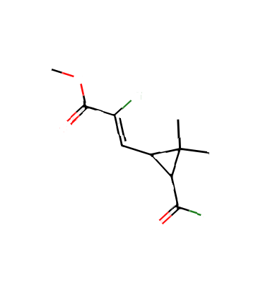 COC(=O)C(Cl)=CC1C(C(=O)Cl)C1(C)C